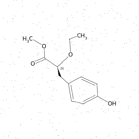 CCO[C@@H](Cc1ccc(O)cc1)C(=O)OC